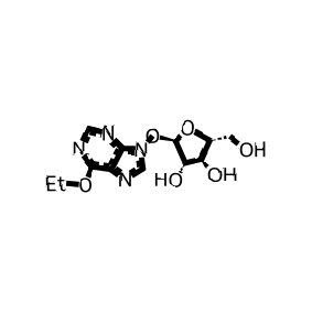 CCOc1ncnc2c1ncn2O[C@H]1O[C@H](CO)[C@@H](O)[C@@H]1O